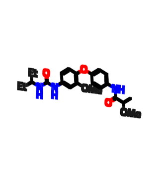 CCC(CC)NC(=O)Nc1ccc(Oc2ccc(NC(=O)C(C)OC)cc2)c(OC)c1